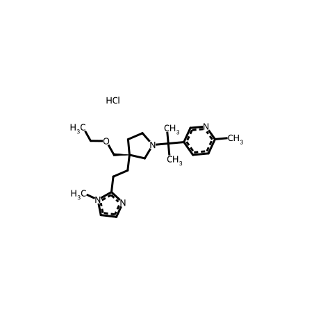 CCOC[C@@]1(CCc2nccn2C)CCN(C(C)(C)c2ccc(C)nc2)C1.Cl